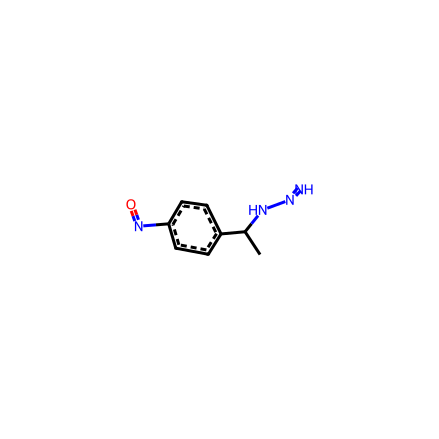 CC(NN=N)c1ccc(N=O)cc1